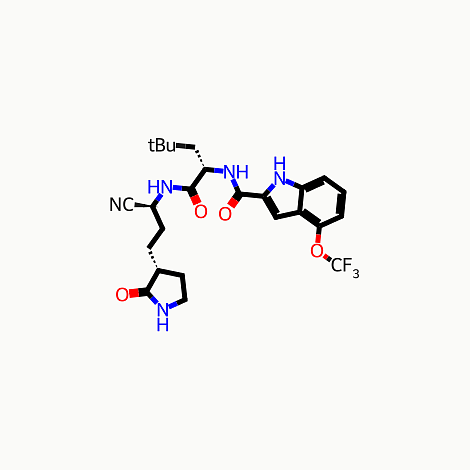 CC(C)(C)C[C@H](NC(=O)c1cc2c(OC(F)(F)F)cccc2[nH]1)C(=O)N[C@H](C#N)CC[C@@H]1CCNC1=O